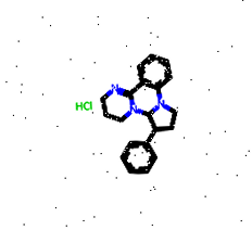 Cl.c1ccc(C2CCN3c4ccccc4C4=NCCCN4C23)cc1